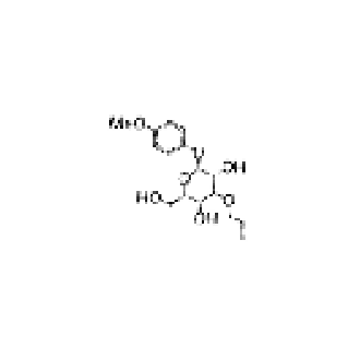 C=CCO[C@H]1[C@@H](O)[C@@H](CO)O[C@@H](Oc2ccc(OC)cc2)[C@@H]1O